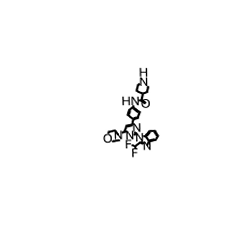 O=C(Nc1ccc(-c2cc(N3CCOCC3)nc(-n3c(C(F)F)nc4ccccc43)n2)cc1)C1CCNCC1